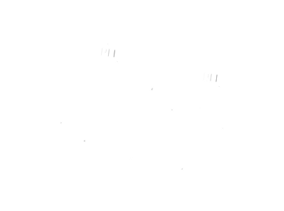 Bc1cccc2cc3cccc(B)c3cc12